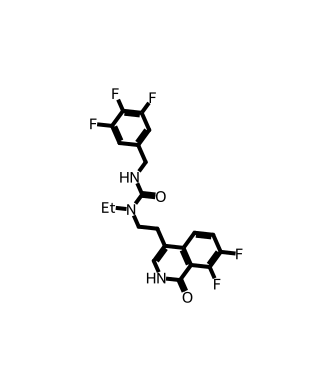 CCN(CCc1c[nH]c(=O)c2c(F)c(F)ccc12)C(=O)NCc1cc(F)c(F)c(F)c1